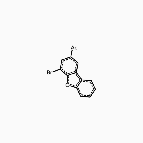 CC(=O)c1cc(Br)c2oc3ccccc3c2c1